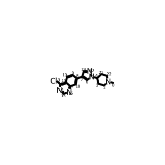 CN1CCC(n2cc(-c3ccc4c(Cl)ncnc4c3)cn2)CC1